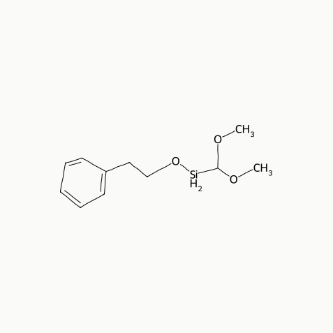 COC(OC)[SiH2]OCCc1ccccc1